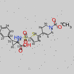 COC(=O)N1CC=C(c2ccc(S(=O)(=O)N[C@@]3(C(=O)O)C[C@H]3c3ccccc3)s2)CC1